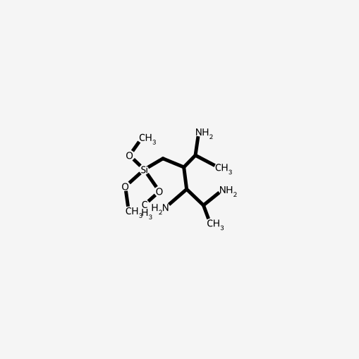 CO[Si](CC(C(C)N)C(N)C(C)N)(OC)OC